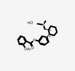 CC(=O)Oc1ccccc1C(=O)Oc1cccc([C@@H]2CCCC[C@@H]2CN(C)C)c1.Cl